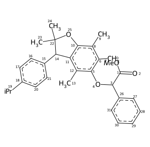 COC(=O)C(Oc1c(C)c(C)c2c(c1C)C(c1ccc(C(C)C)cc1)C(C)(C)O2)c1ccccc1